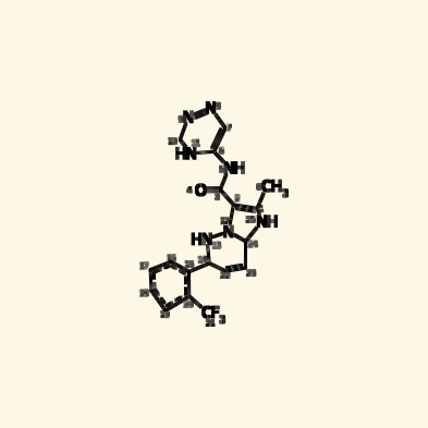 CC1=C(C(=O)NC2=CN=NCN2)N2NC(c3ccccc3C(F)(F)F)C=CC2N1